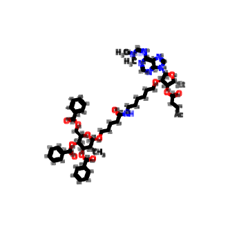 CC[C@H]1O[C@@H](n2cnc3c(/N=C\N(C)C)ncnc32)[C@@H](OCCCCCCNC(=O)CCCCO[C@@H]2O[C@H](COC(=O)c3ccccc3)[C@H](OC(=O)c3ccccc3)[C@H](OC(=O)c3ccccc3)[C@H]2C)C1OC(=O)CCC(C)=O